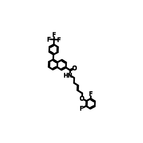 O=C(NCC/C=C/COc1c(F)cccc1F)c1ccc2c(-c3ccc(C(F)(F)F)cc3)cccc2c1